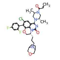 C=CC(=O)N1C[C@H](C)N(c2nc(=O)n3c4c(c(-c5ccc(F)cc5F)c(Cl)cc24)OC[C@H]3CCCN2C3CCC2COC3)C[C@H]1C